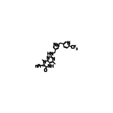 CCC[C@@H]1C(=O)Nc2c(C)nc(NCc3cnn(Cc4ccc(C(F)(F)F)nc4)c3)nc2N1C